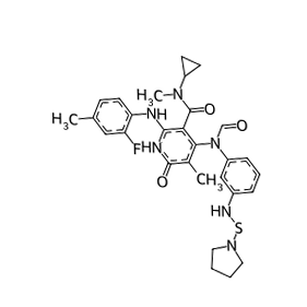 Cc1ccc(Nc2[nH]c(=O)c(C)c(N(C=O)c3cccc(NSN4CCCC4)c3)c2C(=O)N(C)C2CC2)c(F)c1